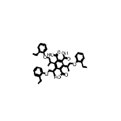 CCc1ccccc1OCC(C)c1c(C(=O)O)c(C(=O)O)c(C(C)COc2ccccc2CC)c(C(C)COc2ccccc2CC)c1C(=O)O